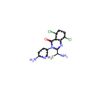 CC(N)c1nc2c(Cl)ccc(Cl)c2c(=O)n1-c1ccc(N)nc1